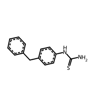 NC(=S)Nc1ccc(Cc2ccccc2)cc1